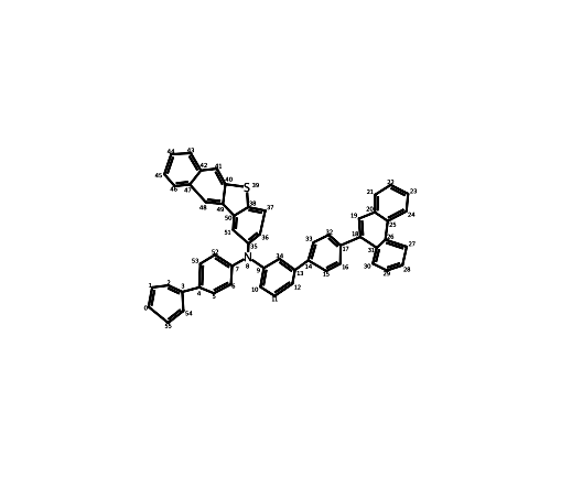 c1ccc(-c2ccc(N(c3cccc(-c4ccc(-c5cc6ccccc6c6ccccc56)cc4)c3)c3ccc4sc5cc6ccccc6cc5c4c3)cc2)cc1